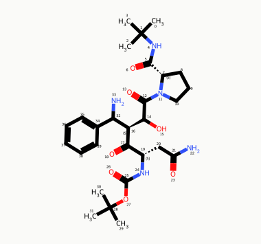 CC(C)(C)NC(=O)[C@@H]1CCCN1C(=O)C(O)[C@@H](C(=O)[C@H](CC(N)=O)NC(=O)OC(C)(C)C)C(N)c1ccccc1